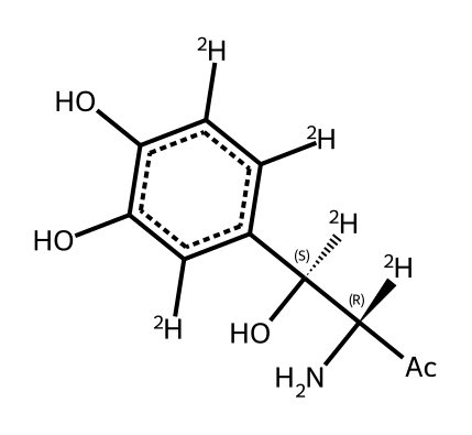 [2H]c1c([2H])c([C@]([2H])(O)[C@@]([2H])(N)C(C)=O)c([2H])c(O)c1O